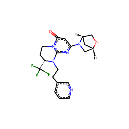 O=c1cc(N2C[C@@H]3C[C@H]2CO3)nc2n1CC[C@@H](C(F)(F)F)N2CCc1cccnc1